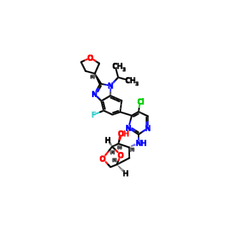 CC(C)n1c([C@H]2CCOC2)nc2c(F)cc(-c3nc(N[C@@H]4C[C@H]5CO[C@H](O5)[C@H]4O)ncc3Cl)cc21